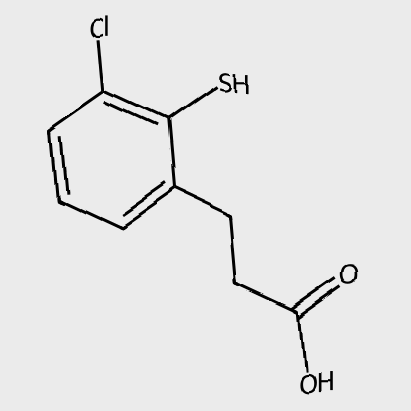 O=C(O)CCc1cccc(Cl)c1S